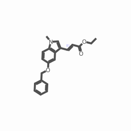 CCOC(=O)/C=C/c1cn(C)c2ccc(OCc3ccccc3)cc12